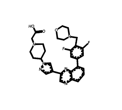 O=C(O)CN1CCC(n2cc(-c3cnc4cccc(-c5cc(F)c(CN6CCOCC6)c(F)c5)c4n3)cn2)CC1